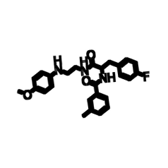 COc1ccc(NCCNC(=O)C(Cc2ccc(F)cc2)NC(=O)c2cccc(C)c2)cc1